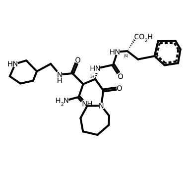 N=C(N)C(C(=O)NCC1CCCNC1)[C@H](NC(=O)N[C@@H](Cc1ccccc1)C(=O)O)C(=O)N1CCCCCC1